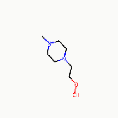 CN1CCN(CCOO)CC1